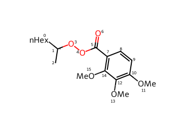 CCCCCC[C](C)OOC(=O)c1ccc(OC)c(OC)c1OC